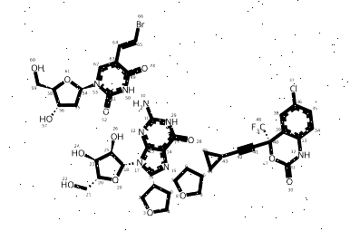 C1CCOC1.C1CCOC1.Nc1nc2c(ncn2[C@@H]2O[C@H](CO)[C@@H](O)[C@H]2O)c(=O)[nH]1.O=C1Nc2ccc(Cl)cc2[C@@](C#CC2CC2)(C(F)(F)F)O1.O=c1[nH]c(=O)n([C@H]2C[C@H](O)[C@@H](CO)O2)cc1/C=C/Br